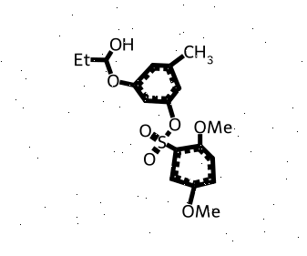 CCC(O)Oc1cc(C)cc(OS(=O)(=O)c2cc(OC)ccc2OC)c1